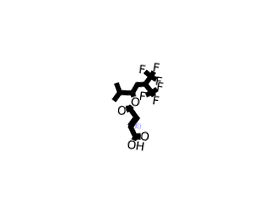 CC(C)C(CC(C(F)(F)F)C(F)(F)F)OC(=O)/C=C/C(=O)O